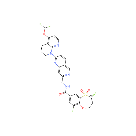 O=C(NCc1cc2nc(N3CCCc4c(OC(F)F)ccnc43)ccc2cn1)c1cc(F)c2c(c1)S(=O)(=O)[C@@H](F)CCO2